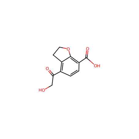 O=C(CO)c1ccc(C(=O)O)c2c1CCO2